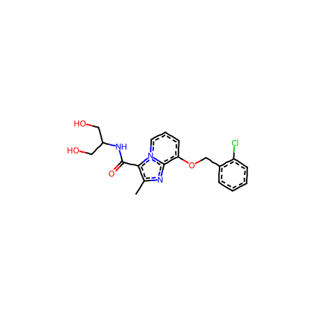 Cc1nc2c(OCc3ccccc3Cl)cccn2c1C(=O)NC(CO)CO